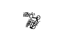 C=C.CC(C)[O-].CC(C)[O-].CC(C)[O-].CC(C)[O-].CC1CO1.[Zr+4]